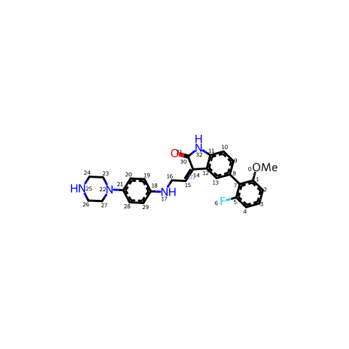 COc1cccc(F)c1-c1ccc2c(c1)/C(=C/CNc1ccc(N3CCNCC3)cc1)C(=O)N2